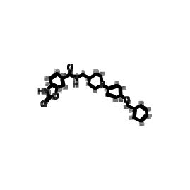 O=C(NCC1CCN(c2ccc(OCc3ccccc3)cc2)CC1)c1ccc2[nH]c(=O)oc2c1